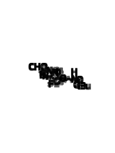 CC(C)(C)OC(=O)NCCCOc1ccc(F)cc1C1CCCN1c1ccn2ncc(C=O)c2n1